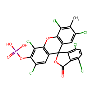 Cc1c(Cl)cc2c(c1Cl)Oc1c(cc(Cl)c(OP(=O)(O)O)c1Cl)C21OC(=O)c2c(Cl)ccc(Cl)c21